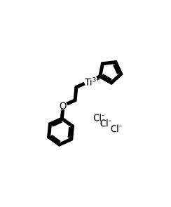 C1=CC[C]([Ti+3][CH2]COc2ccccc2)=C1.[Cl-].[Cl-].[Cl-]